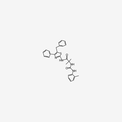 Cc1ccccc1NC(=O)NC(C)(C)C(=O)Nc1nc(-c2ccccc2)c(Cc2ccccc2)s1